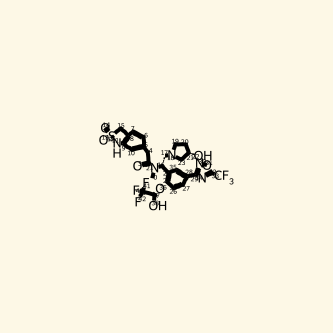 CN(C(=O)Cc1ccc2c(c1)NS(=O)(=O)C2)[C@H](CN1CC[C@H](O)C1)c1cccc(-c2noc(C(F)(F)F)n2)c1.O=C(O)C(F)(F)F